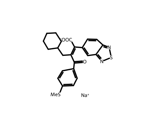 CSc1ccc(C(=O)C(CC2CCCCC2)=C(C(=O)[O-])c2ccc3nsnc3c2)cc1.[Na+]